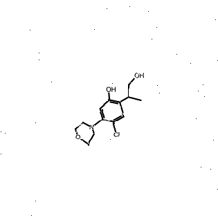 CC(CO)c1cc(Cl)c(N2CCOCC2)cc1O